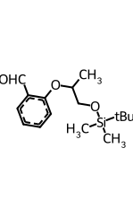 CC(CO[Si](C)(C)C(C)(C)C)Oc1ccccc1C=O